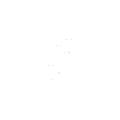 CC1(C)CNCCN1S(=O)(=O)c1ccccc1F